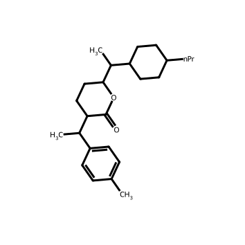 CCCC1CCC(C(C)C2CCC(C(C)c3ccc(C)cc3)C(=O)O2)CC1